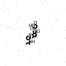 CCC(C)N[C@H]1CCCO[C@@H]1Cc1ccc2c(c1F)CN(C1CCC(=O)NC1=O)C2=O